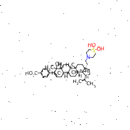 C=C(C)[C@@H]1CC[C@]2(CCN3CCS(O)(O)CC3)CC[C@]3(C)[C@H](CC[C@@H]4[C@@]5(C)CC=C(c6ccc(C(=O)O)cc6)C(C)(C)[C@@H]5CC[C@]43C)[C@@H]12